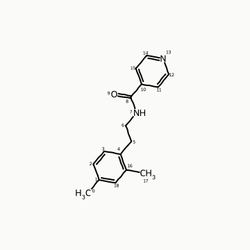 Cc1ccc(CCNC(=O)c2ccncc2)c(C)c1